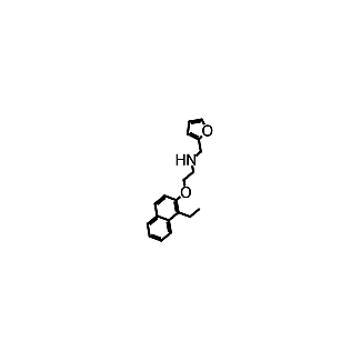 CCc1c(OCCNCc2ccco2)ccc2ccccc12